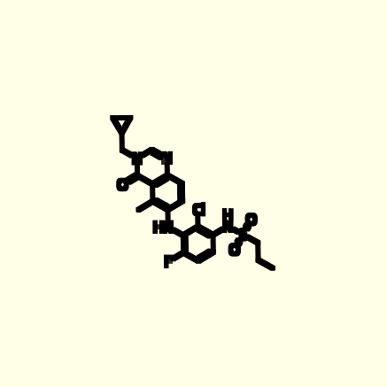 CCCS(=O)(=O)Nc1ccc(F)c(Nc2ccc3ncn(CC4CC4)c(=O)c3c2C)c1Cl